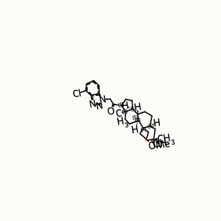 COCC[C@]12CC[C@@](C)(O)C[C@@H]1CC[C@H]1[C@@H]3CC[C@H](C(=O)Cn4nnc5c(Cl)cccc54)[C@@]3(C)CC[C@@H]12